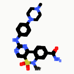 CCCN1c2cc(C(N)=O)ccc2-c2nc(Nc3ccc(N4CCN(C)CC4)cc3)ncc2S1(=O)=O